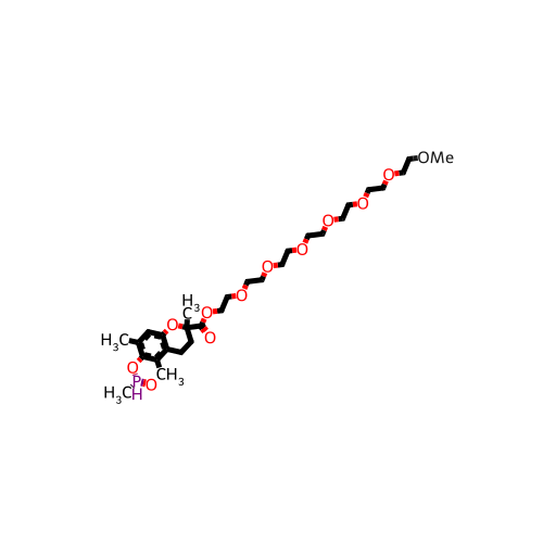 COCCOCCOCCOCCOCCOCCOCCOC(=O)C1(C)CCc2c(cc(C)c(O[PH](C)=O)c2C)O1